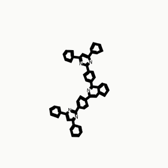 c1ccc(-c2cc(-c3ccccc3)nc(-c3ccc(-c4cc5ccccc5c(-c5ccc(-c6nc(-c7ccccc7)cc(-c7ccccc7)n6)cc5)n4)cc3)n2)cc1